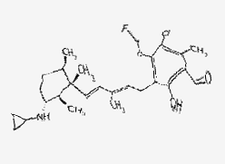 CC(/C=C/[C@@]1(C)[C@H](C)CC[C@@H](NC2CC2)[C@@H]1C)=C\Cc1c(O)c(C=O)c(C)c(Cl)c1OCF